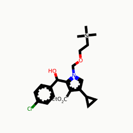 CCOC(=O)c1c(C2CC2)cn(COCC[Si](C)(C)C)c1C(O)c1ccc(Cl)cc1